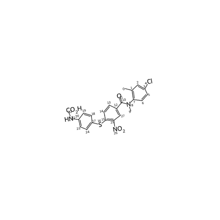 Cc1cc(Cl)ccc1N(C)C(=O)c1ccc(Sc2ccc(NC(=O)O)cc2)c([N+](=O)[O-])c1